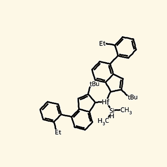 CCc1ccccc1-c1cccc2c1C=C(C(C)(C)C)[CH]2[Hf]([CH]1C(C(C)(C)C)=Cc2c(-c3ccccc3CC)cccc21)[SiH](C)C